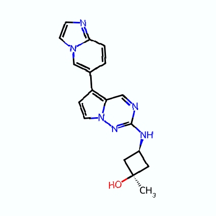 C[C@]1(O)C[C@@H](Nc2ncc3c(-c4ccc5nccn5c4)ccn3n2)C1